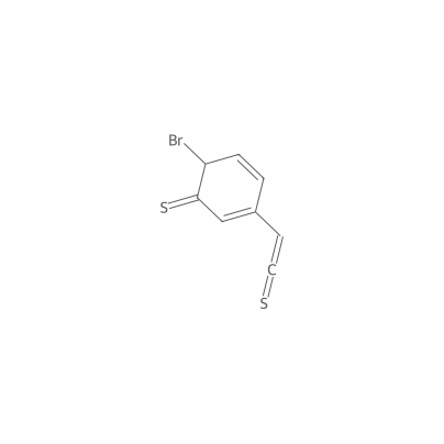 S=C=CC1=CC(=S)C(Br)C=C1